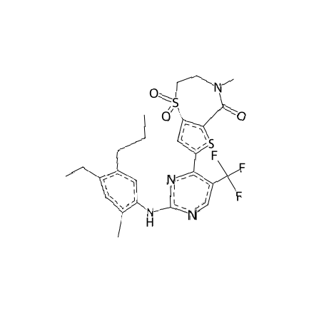 CCCc1cc(Nc2ncc(C(F)(F)F)c(-c3cc4c(s3)C(=O)N(C)CCS4(=O)=O)n2)c(C)cc1CC